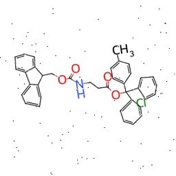 Cc1ccc(C(OC(=O)CCNC(=O)OCC2c3ccccc3-c3ccccc32)(c2ccccc2)c2ccccc2Cl)cc1